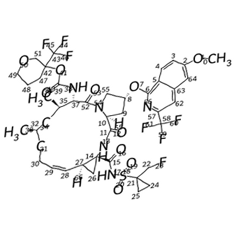 COc1ccc2c(O[C@@H]3C[C@H]4C(=O)N[C@]5(C(=O)NS(=O)(=O)C6(CF)CC6)C[C@H]5/C=C\CC[C@@H](C)C[C@@H](C)[C@H](NC(=O)OC5(C(F)(F)F)CCCOC5)C(=O)N4C3)nc(C(F)(F)F)cc2c1